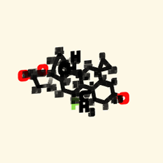 C[C@]12CCC(=O)C=C1C1(CC1)CC1C2[C@@H](F)C[C@@]2(C)C1[C@@H]1CC1[C@@]21CCC(=O)O1